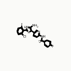 Nc1[nH]c(-c2c(F)cccc2Cl)nc1-c1ccc(NC(=O)C2C=CC(F)=CC2)nc1